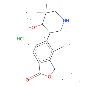 Cc1c(C2CNCC(C)(C)C2O)ccc2c1COC2=O.Cl